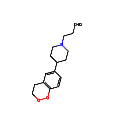 O=CCCN1CCC(c2ccc3c(c2)CCOO3)CC1